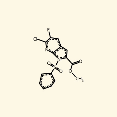 COC(=O)c1cc2cc(F)c(Cl)nc2n1S(=O)(=O)c1ccccc1